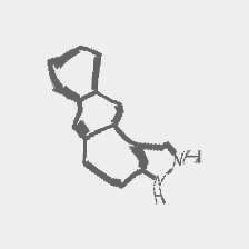 c1ccc2cc3c4c(ccc3cc2c1)NNC4